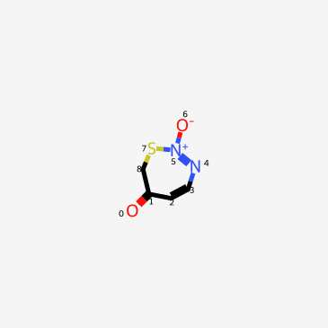 O=C1C=CN=[N+]([O-])SC1